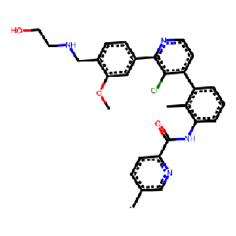 [CH2]c1ccc(C(=O)Nc2cccc(-c3ccnc(-c4ccc(CNCCO)c(OC)c4)c3Cl)c2C)nc1